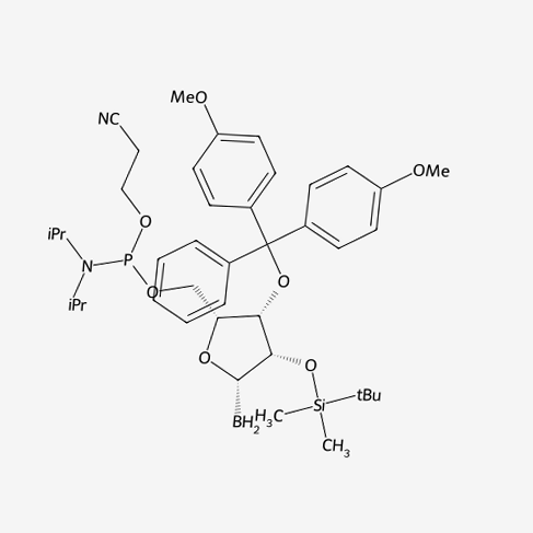 B[C@@H]1O[C@H](COP(OCCC#N)N(C(C)C)C(C)C)[C@H](OC(c2ccccc2)(c2ccc(OC)cc2)c2ccc(OC)cc2)[C@@H]1O[Si](C)(C)C(C)(C)C